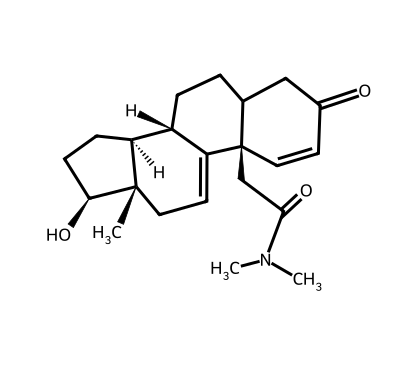 CN(C)C(=O)C[C@]12C=CC(=O)CC1CC[C@@H]1C2=CC[C@]2(C)[C@@H](O)CC[C@@H]12